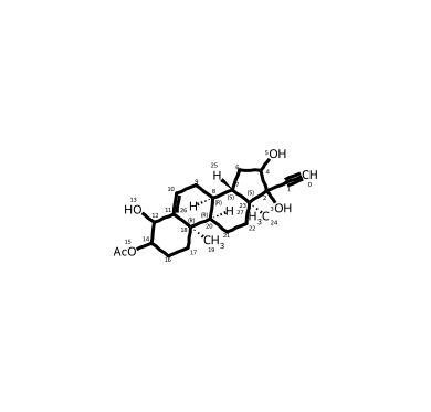 C#CC1(O)C(O)C[C@H]2[C@@H]3CC=C4C(O)C(OC(C)=O)CC[C@]4(C)[C@@H]3CC[C@@]21C